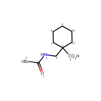 CCCCC(=O)NCC1(C(=O)O)CCCCC1